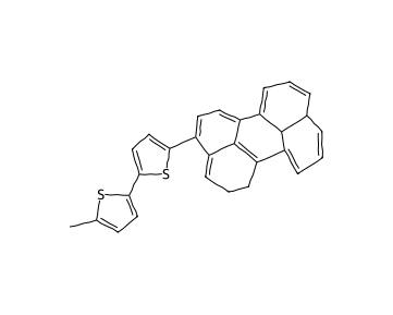 Cc1ccc(-c2ccc(-c3ccc4c5c3=CCCC=5C3=CC=CC5C=CC=C4C35)s2)s1